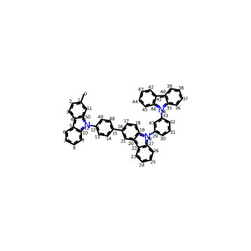 Cc1ccc2c3ccccc3n(-c3ccc(-c4ccc5c(c4)c4ccccc4n5-c4cccc(-n5c6ccccc6c6ccccc65)c4)cc3)c2c1